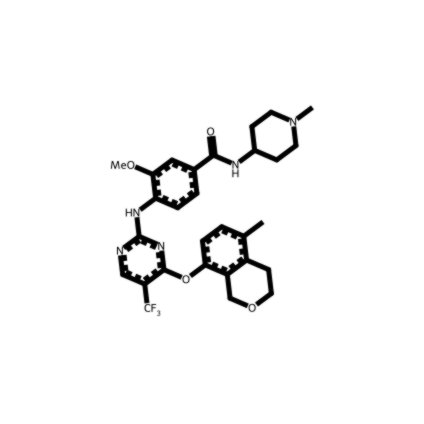 COc1cc(C(=O)NC2CCN(C)CC2)ccc1Nc1ncc(C(F)(F)F)c(Oc2ccc(C)c3c2COCC3)n1